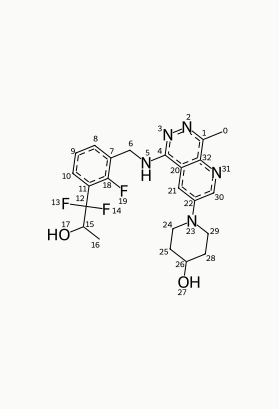 Cc1nnc(NCc2cccc(C(F)(F)C(C)O)c2F)c2cc(N3CCC(O)CC3)cnc12